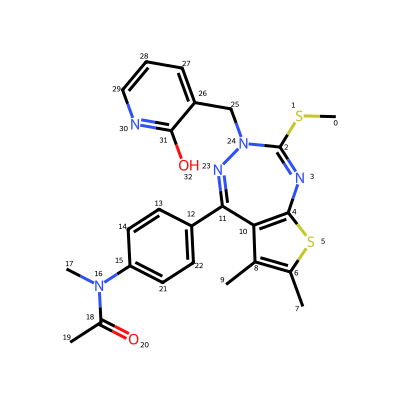 CSC1=Nc2sc(C)c(C)c2C(c2ccc(N(C)C(C)=O)cc2)=NN1Cc1cccnc1O